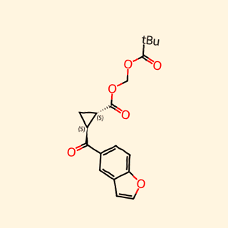 CC(C)(C)C(=O)OCOC(=O)[C@H]1C[C@@H]1C(=O)c1ccc2occc2c1